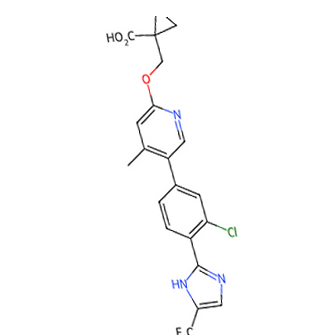 Cc1cc(OCC2(C(=O)O)CC2)ncc1-c1ccc(-c2ncc(C(F)(F)F)[nH]2)c(Cl)c1